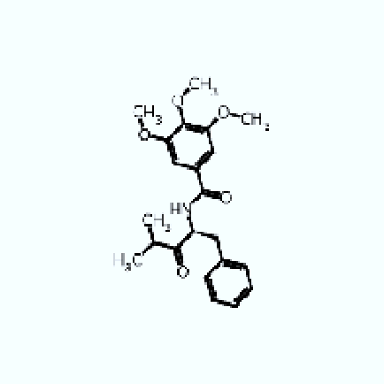 COc1cc(C(=O)N[C@@H](Cc2ccccc2)C(=O)C(C)C)cc(OC)c1OC